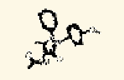 COc1ccc(-n2c(=O)c(NC(C)=O)c(C)n2-c2ccccc2)cc1